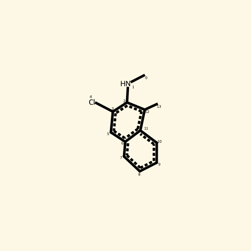 CNc1c(Cl)cc2ccccc2c1C